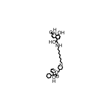 O=C(OCC1CCN(CCCCCCCCCNC[C@@H](O)c2ccc(O)c3[nH]c(=O)ccc23)CC1)C(O)(c1cccs1)C1CCCCC1